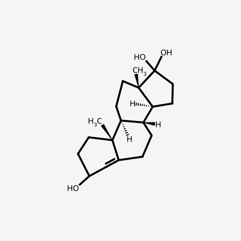 C[C@]12CCC(O)C=C1CC[C@@H]1[C@@H]2CC[C@@]2(C)[C@H]1CCC2(O)O